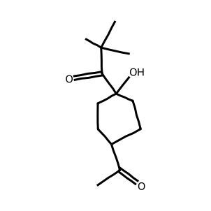 CC(=O)C1CCC(O)(C(=O)C(C)(C)C)CC1